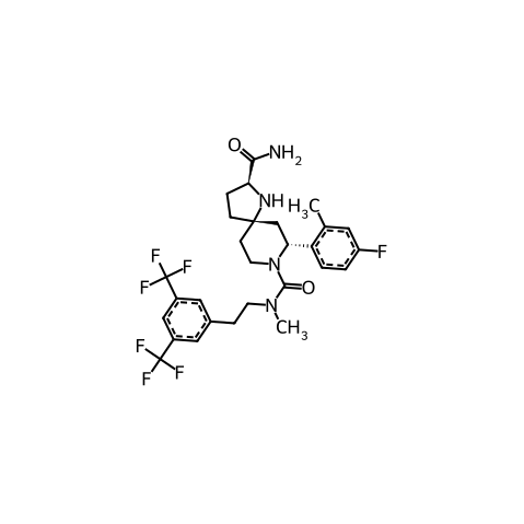 Cc1cc(F)ccc1[C@H]1C[C@]2(CC[C@@H](C(N)=O)N2)CCN1C(=O)N(C)CCc1cc(C(F)(F)F)cc(C(F)(F)F)c1